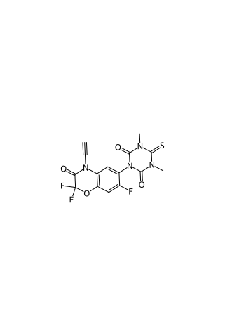 C#CN1C(=O)C(F)(F)Oc2cc(F)c(-n3c(=O)n(C)c(=S)n(C)c3=O)cc21